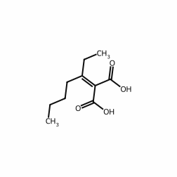 CCCCC(CC)=C(C(=O)O)C(=O)O